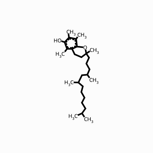 Cc1c(C)c2c(c(C)c1O)CCC(C)(CCCC(C)CC(C)CCCCCC(C)C)O2